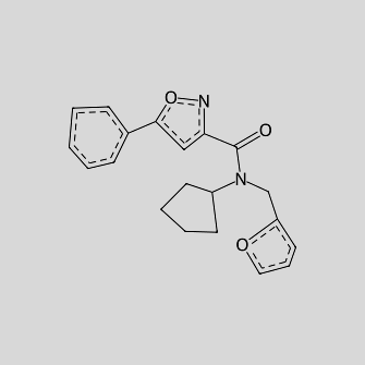 O=C(c1cc(-c2ccccc2)on1)N(Cc1ccco1)C1CCCC1